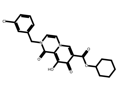 O=C(OC1CCCCC1)c1cn2ccn(Cc3cccc(Cl)c3)c(=O)c2c(O)c1=O